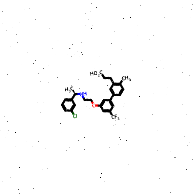 Cc1ccc(-c2cc(OCCN[C@H](C)c3cccc(Cl)c3)cc(C(F)(F)F)c2)cc1CCC(=O)O